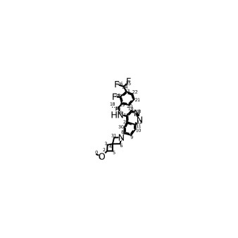 COC1CC2(C1)CN(c1ccc3nncc(N[C@H](C)c4cccc(C(F)F)c4F)c3c1)C2